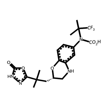 CC(C)(C[C@H]1CNc2cc(N(C(=O)O)C(C)(C)C(F)(F)F)ccc2O1)c1n[nH]c(=O)o1